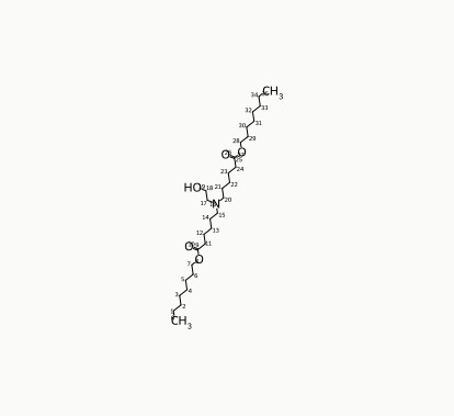 CCCCCCCCOC(=O)CCCCCN(CCO)CCCCCC(=O)OCCCCCCCC